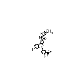 Cn1cnc(S(=O)(=O)N2C[C@@H](CNc3ccc(F)c(C(F)(F)F)c3)[C@H](c3ccc(F)cc3)C2)c1